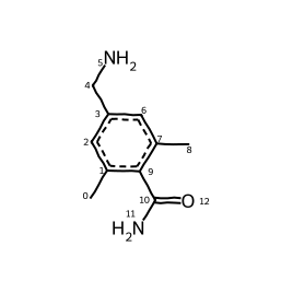 Cc1cc(CN)cc(C)c1C(N)=O